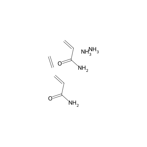 C=C.C=CC(N)=O.C=CC(N)=O.N.N